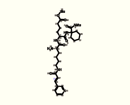 CNC(=O)C1(NC(=O)[C@H](CCCC(=O)OC(C)(C)C)NC(=O)[C@@H](N)CCCCNC(=O)/C=C/c2cccnc2)CCCCC1